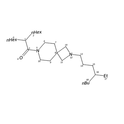 CCCCCCC(CCCCCC)C(=O)N1CCC2(CC1)CN(CCCC(CC)CCCC)C2